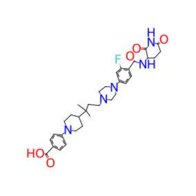 CC(C)(CCN1CCN(c2ccc(C(=O)NC3CCC(=O)NC3=O)c(F)c2)CC1)C1CCN(c2ccc(C(=O)O)cc2)CC1